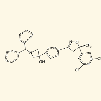 OC1(c2ccc(C3=NO[C@@](c4cc(Cl)cc(Cl)c4)(C(F)(F)F)C3)cc2)CN(C(c2ccccc2)c2ccccc2)C1